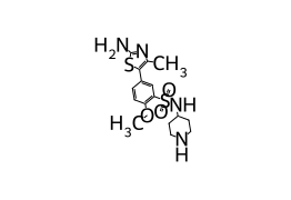 COc1ccc(-c2sc(N)nc2C)cc1S(=O)(=O)NC1CCNCC1